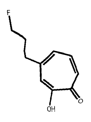 O=c1cccc(CCCF)cc1O